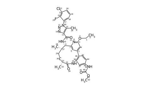 CCOc1cc2cc(n1)[C@@H](NC(=O)c1nnn(-c3cccc(Cl)c3F)c1C)[C@@H](C)CC[C@@H](C)C(=O)Nc1cc(NC(=O)OC)ccc1-2